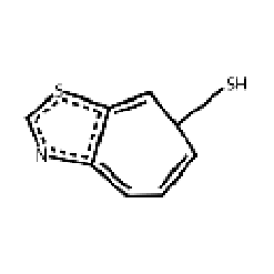 SC1C=CC=c2ncsc2=C1